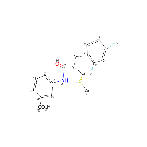 CC(=O)SCC(Cc1ccc(F)cc1F)C(=O)Nc1cccc(C(=O)O)c1